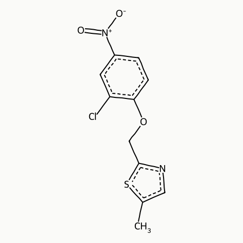 Cc1cnc(COc2ccc([N+](=O)[O-])cc2Cl)s1